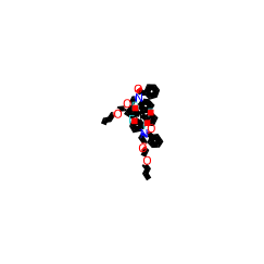 CCCCOCCOCCN(C(=O)c1ccccc1)c1ccc(F)[c]([Ti]([C]2=CC=CC2)([C]2=CC=CC2)[c]2c(F)ccc(N(CCOCCOCCCC)C(=O)c3ccccc3)c2F)c1F